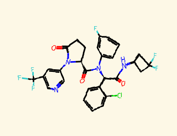 O=C(NC1CC(F)(F)C1)[C@@H](c1ccccc1Cl)N(C(=O)[C@@H]1CCC(=O)N1c1cncc(C(F)(F)F)c1)c1cccc(F)c1